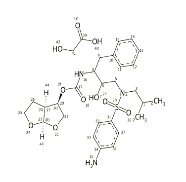 CC(C)CN(CC(O)C(Cc1ccccc1)NC(=O)O[C@H]1CO[C@H]2OCC[C@H]21)S(=O)(=O)c1ccc(N)cc1.O=C(O)CO